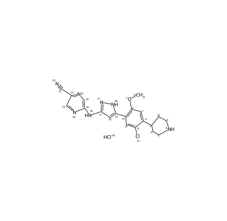 COc1cc(C2CCNCC2)c(Cl)cc1-c1cc(Nc2cnc(C#N)cn2)n[nH]1.Cl